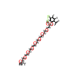 C=C(C)c1c(C)c(C)c(F)c(F)c1OC(=O)CCOCCOCCOCCOCCOCCOCCOCCOCCC